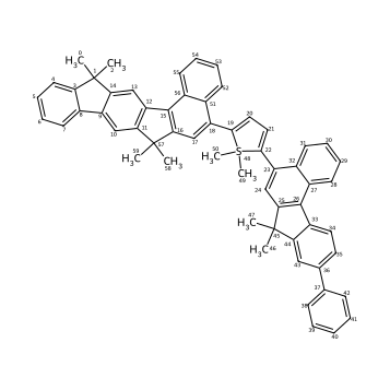 CC1(C)c2ccccc2-c2cc3c(cc21)-c1c(cc(C2=CC=C(c4cc5c(c6ccccc46)-c4ccc(-c6ccccc6)cc4C5(C)C)S2(C)C)c2ccccc12)C3(C)C